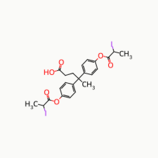 CC(I)C(=O)Oc1ccc(C(C)(CCC(=O)O)c2ccc(OC(=O)C(C)I)cc2)cc1